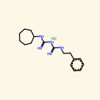 Cl.N=C(NCCc1ccccc1)NC(=N)NC1CCCCCC1